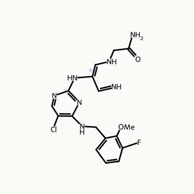 COc1c(F)cccc1CNc1nc(N/C(C=N)=C/NCC(N)=O)ncc1Cl